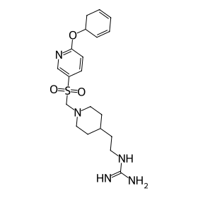 N=C(N)NCCC1CCN(CS(=O)(=O)c2ccc(OC3C=CC=CC3)nc2)CC1